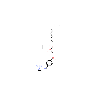 CCCCCCCCCCCCCCCCOCC(COC(=O)c1ccc(Cn2cc[n+](CC)c2)cc1)OCC